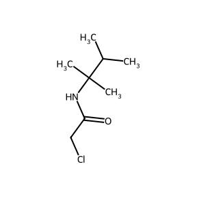 CC(C)C(C)(C)NC(=O)CCl